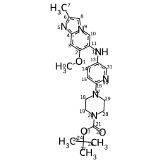 COc1cc2nc(C)cn2cc1Nc1ccc(N2CCN(C(=O)OC(C)(C)C)CC2)nc1